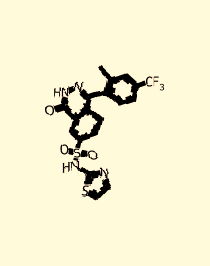 Cc1cc(C(F)(F)F)ccc1-c1n[nH]c(=O)c2cc(S(=O)(=O)Nc3nccs3)ccc12